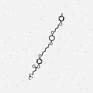 [CH2+][CH-]CCCC(=O)Oc1ccc(OCCCCCCOC2CCC(OCCCCOc3ccc(C)cc3)CC2)cc1